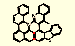 Cc1c(-c2cccc3sc4ccccc4c23)c(N2c3c(ccc4ccccc34)-c3cccc4cccc2c34)nc2ccccc12